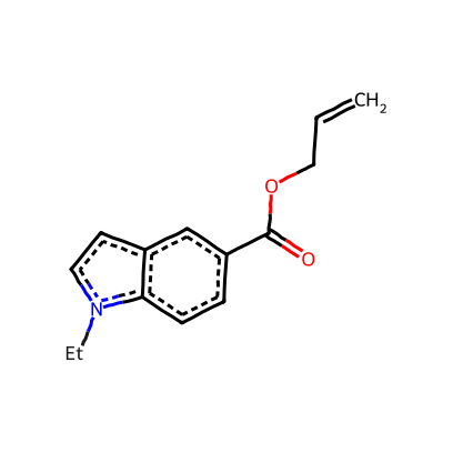 C=CCOC(=O)c1ccc2c(ccn2CC)c1